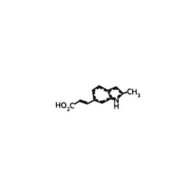 Cc1cc2ccc(C=CC(=O)O)cc2[nH]1